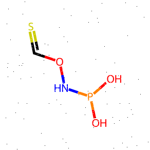 OP(O)NOC=S